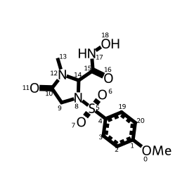 COc1ccc(S(=O)(=O)N2CC(=O)N(C)C2C(=O)NO)cc1